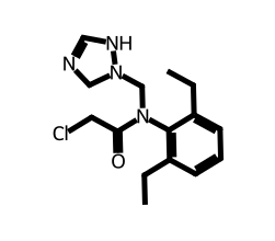 CCc1cccc(CC)c1N(CN1CN=CN1)C(=O)CCl